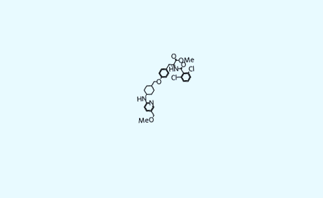 COCc1ccc(NC2CCC(COc3ccc(C[C@H](NC(=O)c4c(Cl)cccc4Cl)C(=O)OC)cc3)CC2)nc1